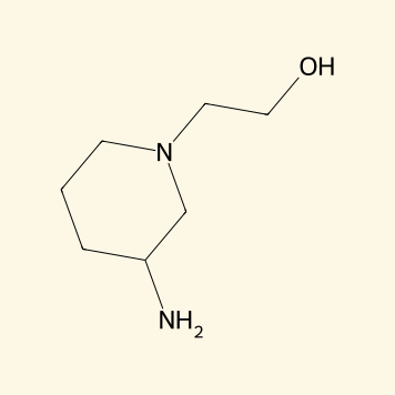 NC1CCCN(CCO)C1